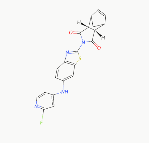 O=C1[C@@H]2C3C=CC(C3)[C@@H]2C(=O)N1c1nc2ccc(Nc3ccnc(F)c3)cc2s1